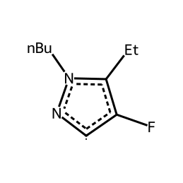 CCCCn1n[c]c(F)c1CC